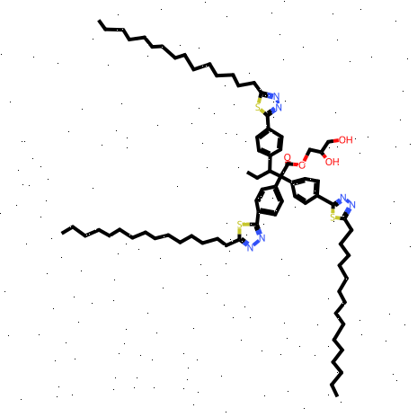 CCCCCCCCCCCCCCCc1nnc(-c2ccc(C(CC)C(C(=O)OCC(O)CO)(c3ccc(-c4nnc(CCCCCCCCCCCCCCC)s4)cc3)c3ccc(-c4nnc(CCCCCCCCCCCCCCC)s4)cc3)cc2)s1